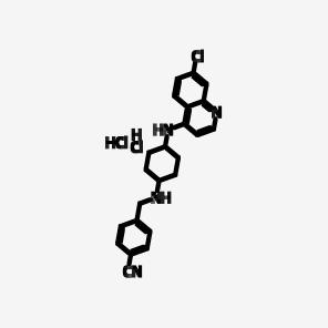 Cl.Cl.N#Cc1ccc(CNC2CCC(Nc3ccnc4cc(Cl)ccc34)CC2)cc1